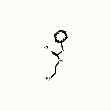 Cl.NCCNC(=O)Oc1ccccc1